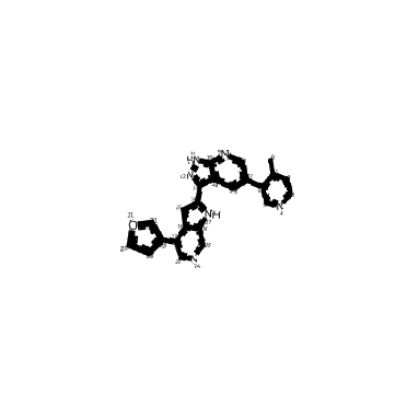 Cc1ccncc1-c1cnc2[nH]nc(-c3cc4c(-c5ccoc5)cncc4[nH]3)c2c1